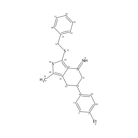 CCc1ccc(C2CC(=N)c3c(SCc4ccccc4)sc(C)c3C2)cc1